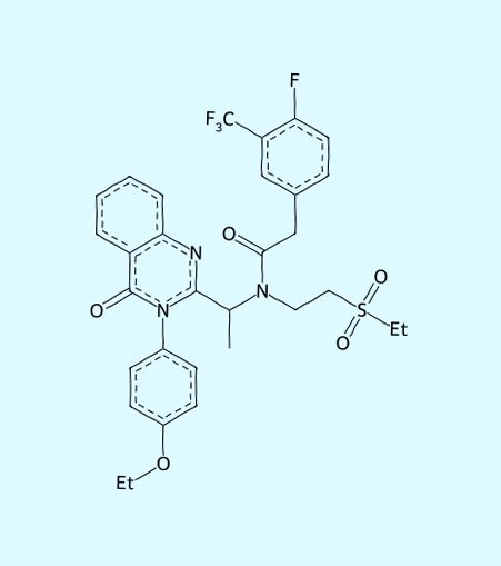 CCOc1ccc(-n2c(C(C)N(CCS(=O)(=O)CC)C(=O)Cc3ccc(F)c(C(F)(F)F)c3)nc3ccccc3c2=O)cc1